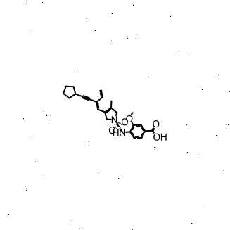 C=C/C(C#CC1CCCC1)=C\C1=C(C)CN(S(=O)(=O)Nc2ccc(C(=O)O)cc2OC)C1